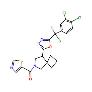 O=C(c1cncs1)N1CC(c2nnc(C(F)(F)c3ccc(Cl)c(Cl)c3)o2)C2(CCC2)C1